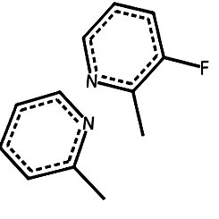 Cc1ccccn1.Cc1ncccc1F